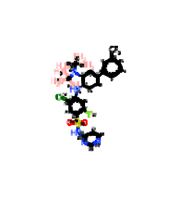 BC(B)(B)N([C@H]1C[C@@H](c2cccc(C(F)(F)F)c2)CC[C@@H]1Nc1cc(F)c(S(=O)(=O)Nc2ccncn2)cc1Cl)C(B)(B)B